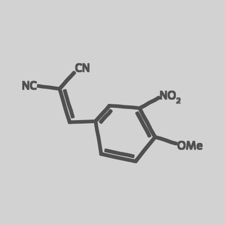 COc1ccc(C=C(C#N)C#N)cc1[N+](=O)[O-]